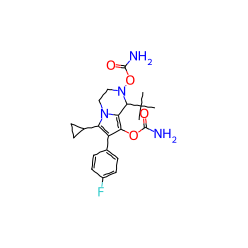 CC(C)(C)C1c2c(OC(N)=O)c(-c3ccc(F)cc3)c(C3CC3)n2CCN1OC(N)=O